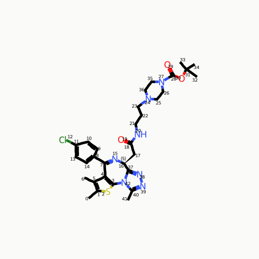 Cc1sc2c(c1C)C(c1ccc(Cl)cc1)=N[C@@H](CC(=O)NCCCN1CCN(C(=O)OC(C)(C)C)CC1)c1nnc(C)n1-2